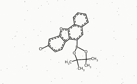 CC1(C)OB(c2cc3ccccc3c3oc4cc(Cl)ccc4c23)OC1(C)C